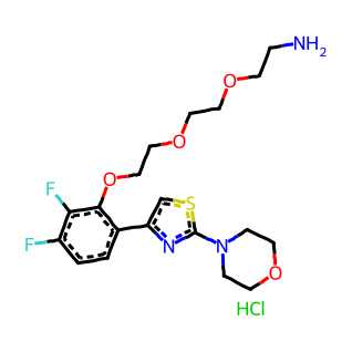 Cl.NCCOCCOCCOc1c(-c2csc(N3CCOCC3)n2)ccc(F)c1F